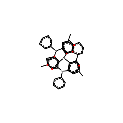 Cc1ccc(N(c2ccc(C)cc2N(c2ccccc2)c2ccccc2)c2ccc(C)cc2N(c2ccccc2)c2ccccc2)c(-c2cccc3ccccc23)c1